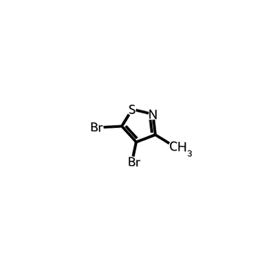 Cc1nsc(Br)c1Br